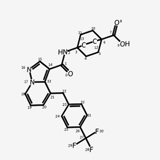 O=C(NC12CCC(C(=O)O)(CC1)CC2)c1cnn2cccc(Cc3ccc(C(F)(F)F)cc3)c12